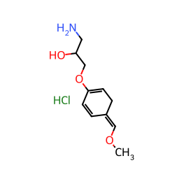 COC=C1C=CC(OCC(O)CN)=CC1.Cl